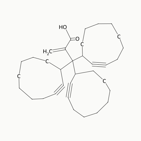 C=C(C(=O)O)C(C1C#CCCCCCCC1)(C1C#CCCCCCCC1)C1C#CCCCCCCC1